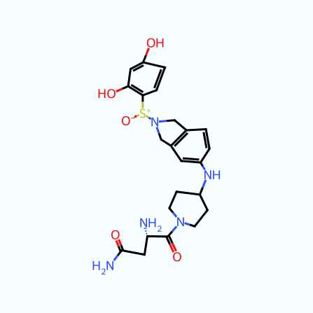 NC(=O)C[C@H](N)C(=O)N1CCC(Nc2ccc3c(c2)CN([S+]([O-])c2ccc(O)cc2O)C3)CC1